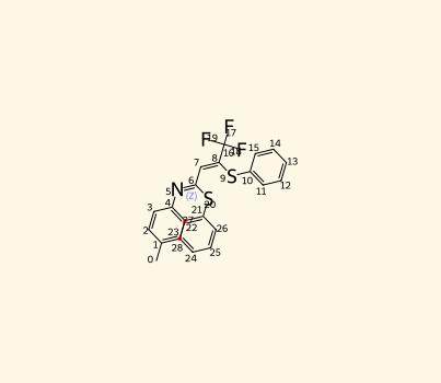 Cc1ccc(/N=C(/C=C(Sc2ccccc2)C(F)(F)F)Sc2ccccc2)cc1